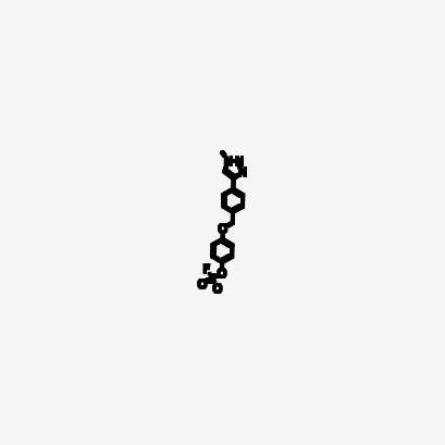 Cn1cc(-c2ccc(COc3ccc(OS(=O)(=O)F)cc3)cc2)nn1